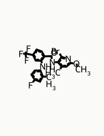 COc1cc(C)c(NC(=O)c2ccc(C(F)(F)F)cc2Nc2ccc(F)cc2C)c(Br)n1